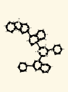 c1ccc(-c2cc(-c3nc(-c4ccccc4)nc(-c4ccc(-c5ccc6sc7ccccc7c6c5)c5ccccc45)n3)c3ccccc3c2)cc1